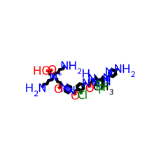 Cn1c(-c2cn(-c3ccc(N)cn3)nc2C(F)(F)F)cnc1C(=O)Nc1ccc(C(=O)N2CCN(C(=O)CCC[N+](CCCCN)(CCCCN)CC(=O)O)CC2)c(Cl)c1